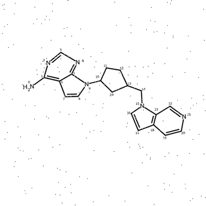 Nc1ncnc2c1ccn2C1CCC(Cn2ccc3ccncc32)C1